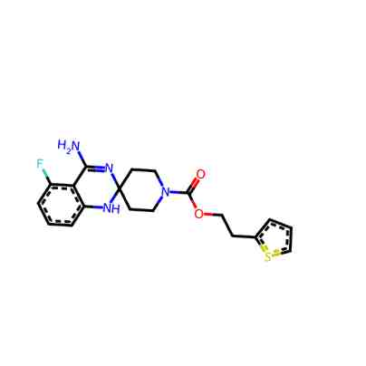 NC1=NC2(CCN(C(=O)OCCc3cccs3)CC2)Nc2cccc(F)c21